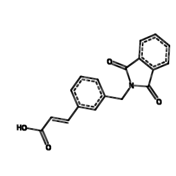 O=C(O)C=Cc1cccc(CN2C(=O)c3ccccc3C2=O)c1